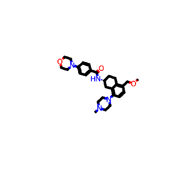 COCc1ccc(N2CCN(C)CC2)c2c1CC[C@@H](NC(=O)c1ccc(N3CCOCC3)cc1)C2